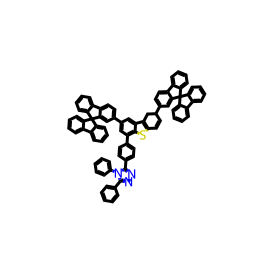 C1=CC(c2ccc3c(c2)C2(c4ccccc4-c4ccccc42)c2ccccc2-3)Cc2c1sc1c(-c3ccc(-c4nnc(-c5ccccc5)n4-c4ccccc4)cc3)cc(-c3ccc4c(c3)C3(c5ccccc5-c5ccccc53)c3ccccc3-4)cc21